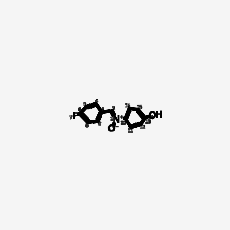 [O-][N+](=Cc1ccc(F)cc1)c1ccc(O)cc1